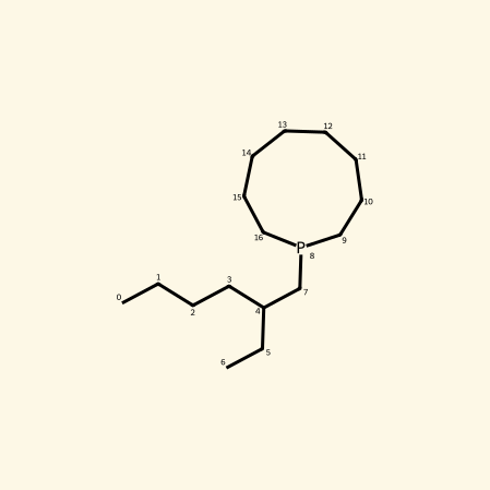 CCCCC(CC)CP1CCCCCCCC1